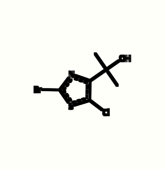 CC(C)(O)c1nc(Br)sc1Cl